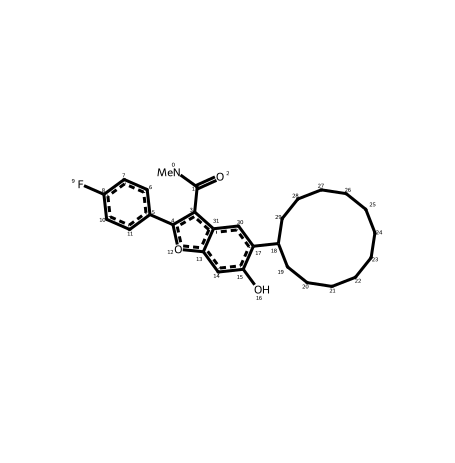 CNC(=O)c1c(-c2ccc(F)cc2)oc2cc(O)c(C3CCCCCCCCCCC3)cc12